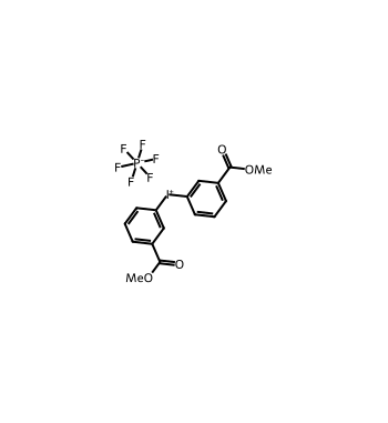 COC(=O)c1cccc([I+]c2cccc(C(=O)OC)c2)c1.F[P-](F)(F)(F)(F)F